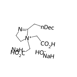 CCCCCCCCCCCC1=NCC[N+]1(CC(=O)O)CC(=O)O.[NaH].[NaH].[OH-]